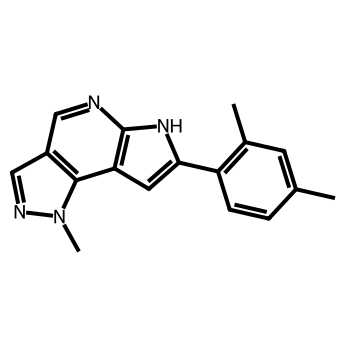 Cc1ccc(-c2cc3c(ncc4cnn(C)c43)[nH]2)c(C)c1